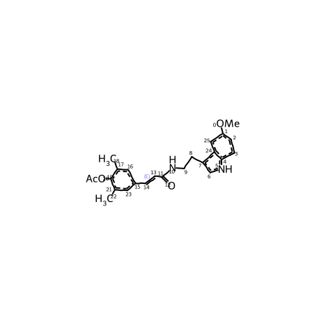 COc1ccc2[nH]cc(CCNC(=O)/C=C/c3cc(C)c(OC(C)=O)c(C)c3)c2c1